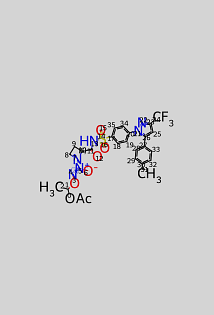 CC(=O)OC(C)O/N=[N+](\[O-])N1CC[C@H]1C(=O)NS(=O)(=O)c1ccc(-n2nc(C(F)(F)F)cc2-c2ccc(C)cc2)cc1